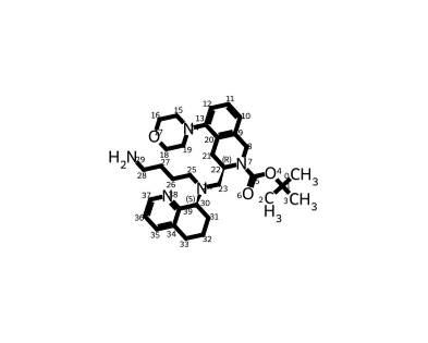 CC(C)(C)OC(=O)N1Cc2cccc(N3CCOCC3)c2C[C@@H]1CN(CCCCN)[C@H]1CCCc2cccnc21